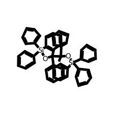 CC(O[Si](c1ccccc1)(c1ccccc1)c1ccccc1)(c1ccccc1)C(C)(O[Si](c1ccccc1)(c1ccccc1)c1ccccc1)c1ccccc1